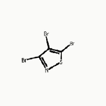 Brc1nsc(Br)c1Br